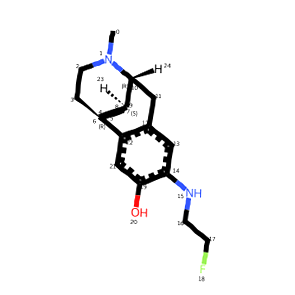 CN1CC[C@]23CCCC[C@@H]2[C@H]1Cc1cc(NCCF)c(O)cc13